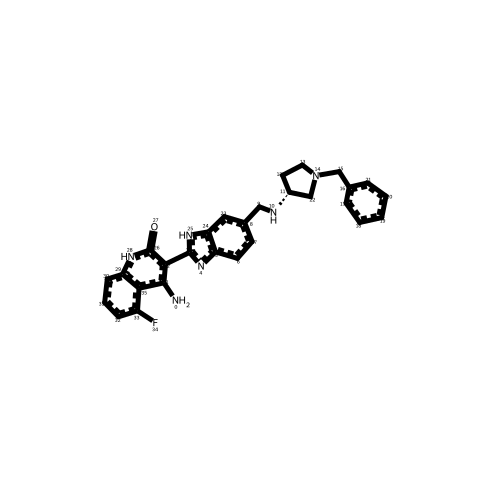 Nc1c(-c2nc3ccc(CN[C@@H]4CCN(Cc5ccccc5)C4)cc3[nH]2)c(=O)[nH]c2cccc(F)c12